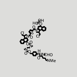 CNCCCC(NC=O)C(=O)Nc1ccc(COC(=O)N(C)CCN(C)C(=O)Oc2cc3c(c4ccccc24)C(CCl)CN3C(=O)c2ccc(C(=O)N3CC(CCl)c4c3cc(OP(O)O)c3ccccc43)s2)cc1